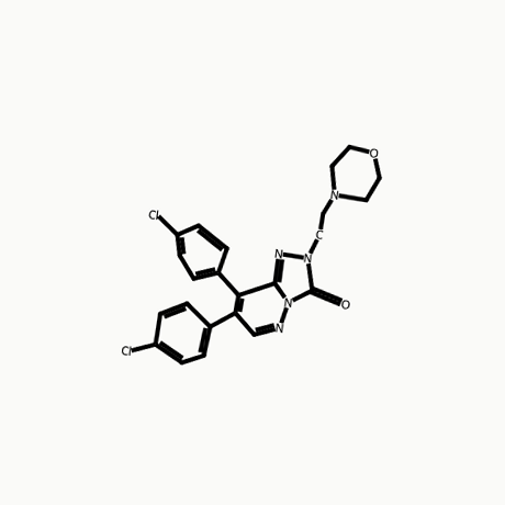 O=c1n(CCN2CCOCC2)nc2c(-c3ccc(Cl)cc3)c(-c3ccc(Cl)cc3)cnn12